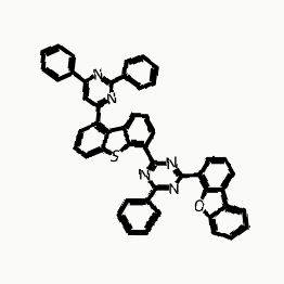 c1ccc(-c2cc(-c3cccc4sc5c(-c6nc(-c7ccccc7)nc(-c7cccc8c7oc7ccccc78)n6)cccc5c34)nc(-c3ccccc3)n2)cc1